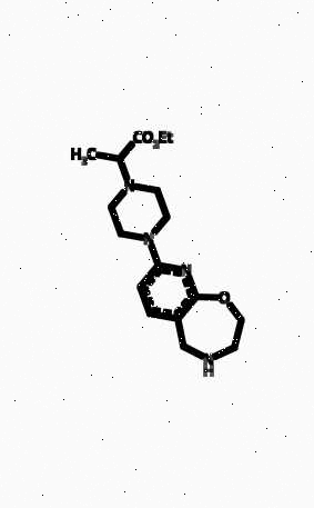 CCOC(=O)C(C)N1CCN(c2ccc3c(n2)OCCNC3)CC1